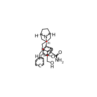 CC(C)(CO)C(=O)N(CCN1[C@@H]2CC[C@H]1C[C@@H](c1cccc(C(N)=O)c1)C2)Cc1ccccc1